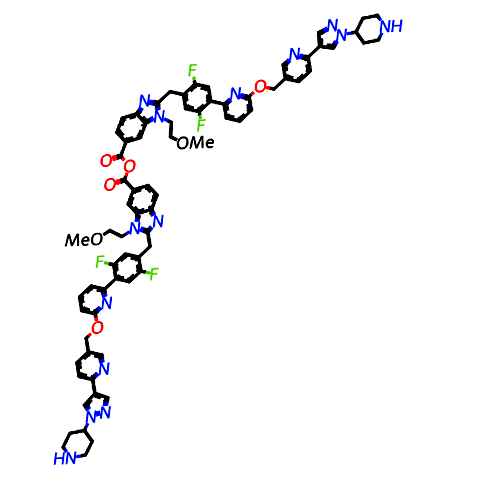 COCCn1c(Cc2cc(F)c(-c3cccc(OCc4ccc(-c5cnn(C6CCNCC6)c5)nc4)n3)cc2F)nc2ccc(C(=O)OC(=O)c3ccc4nc(Cc5cc(F)c(-c6cccc(OCc7ccc(-c8cnn(C9CCNCC9)c8)nc7)n6)cc5F)n(CCOC)c4c3)cc21